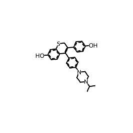 CC(C)N1CCN(c2ccc(C3=C(c4ccc(O)cc4)CSc4cc(O)ccc43)cc2)CC1